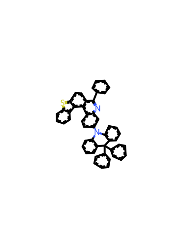 c1ccc(-c2nc3cc(N4c5ccccc5C(c5ccccc5)(c5ccccc5)c5ccccc54)ccc3c3c2ccc2sc4ccccc4c23)cc1